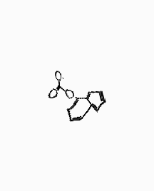 [O]C(=O)Oc1cccc2ccccc12